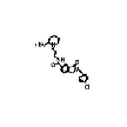 CCCCC1CCCCN1CCCNC(=O)c1ccc2c(c1)C(=O)N(Cc1ccc(Cl)cc1)C2